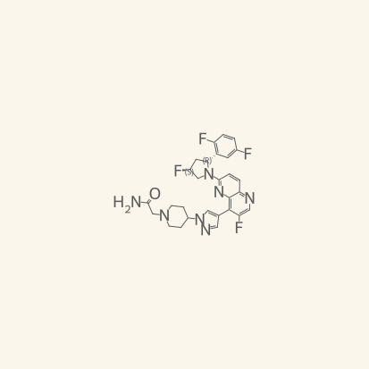 NC(=O)CN1CCC(n2cc(-c3c(F)cnc4ccc(N5C[C@@H](F)C[C@@H]5c5cc(F)ccc5F)nc34)cn2)CC1